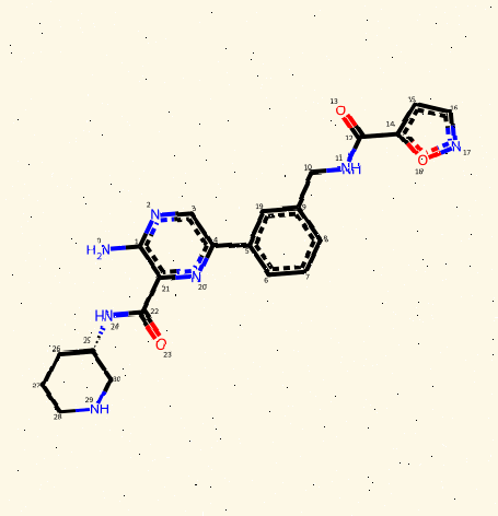 Nc1ncc(-c2cccc(CNC(=O)c3ccno3)c2)nc1C(=O)N[C@H]1CCCNC1